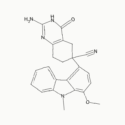 COc1ccc(C2(C#N)CCc3nc(N)[nH]c(=O)c3C2)c2c3ccccc3n(C)c12